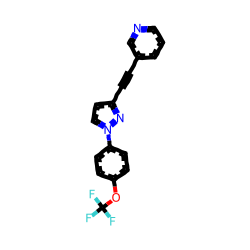 FC(F)(F)Oc1ccc(-n2ccc(C#Cc3cccnc3)n2)cc1